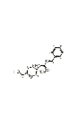 N#C[C@@]1(NC(=O)OCc2ccccc2)CC[C@H](CO)OC1